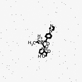 CC(C)C[C@H](NC(=O)c1ccc(-n2ccnc2)cc1)C(=O)N1CC[C@H]2OCC(=O)[C@H]21